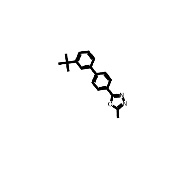 Cc1nnc(-c2ccc(-c3cccc(C(C)(C)C)c3)cc2)o1